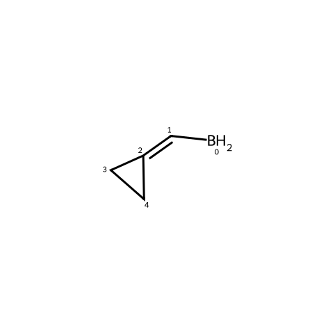 BC=C1CC1